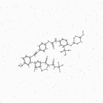 CCN1CCN(Cc2ccc(NC(=O)Cc3ccc(C#Cc4cnc(N)nc4-c4cc5c(n4C)CCN(C(=O)OC(C)(C)C)C5=O)cc3)cc2C(F)(F)F)CC1